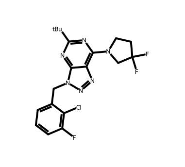 CC(C)(C)c1nc(N2CCC(F)(F)C2)c2nnn(Cc3cccc(F)c3Cl)c2n1